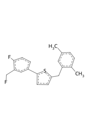 Cc1ccc(C)c(Cc2ccc(-c3ccc(F)c(CF)c3)s2)c1